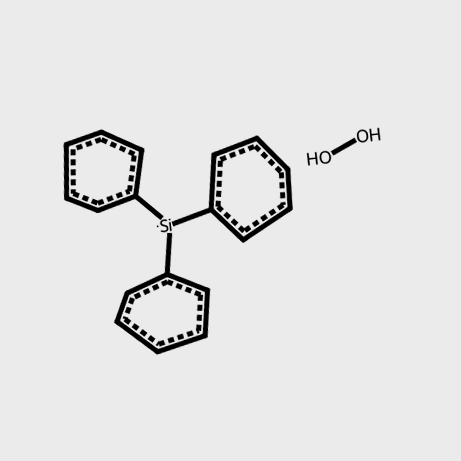 OO.c1ccc([Si](c2ccccc2)c2ccccc2)cc1